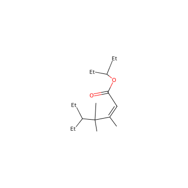 CCC(CC)OC(=O)C=C(C)C(C)(C)C(CC)CC